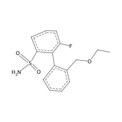 CCOCc1ccccc1-c1c(F)cccc1S(N)(=O)=O